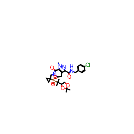 Cn1nc(C(=O)NCc2ccc(Cl)cc2)c2c1C(=O)N(CC1(S(=O)(=O)C(C)(C)C3COC(C)(C)O3)CC1)CC2